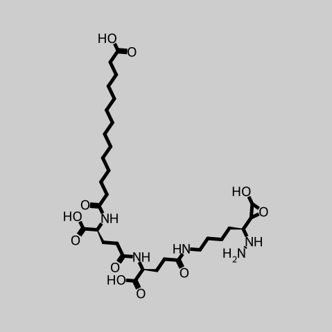 NN[C@@H](CCCCNC(=O)CC[C@H](NC(=O)CC[C@H](NC(=O)CCCCCCCCCCCCC(=O)O)C(=O)O)C(=O)O)C1OC1O